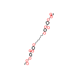 C=CC(=O)OCCOc1ccc(C(=O)Oc2ccc(OCCCCCCCCCCOc3ccc(OC(=O)c4ccc(OCCOC(=O)C=C)cc4)cc3)cc2)cc1